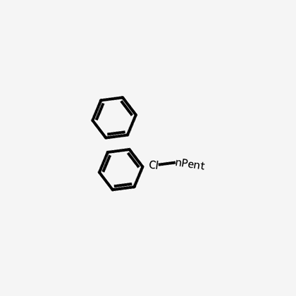 CCCCCCl.c1ccccc1.c1ccccc1